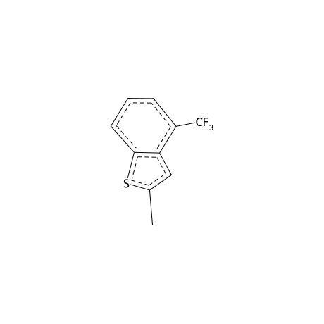 [CH2]c1cc2c(C(F)(F)F)cccc2s1